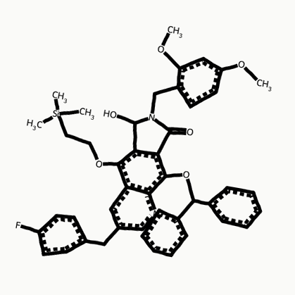 COc1ccc(CN2C(=O)c3c(c(OCC[Si](C)(C)C)c4cc(Cc5ccc(F)cc5)cnc4c3OC(c3ccccc3)c3ccccc3)C2O)c(OC)c1